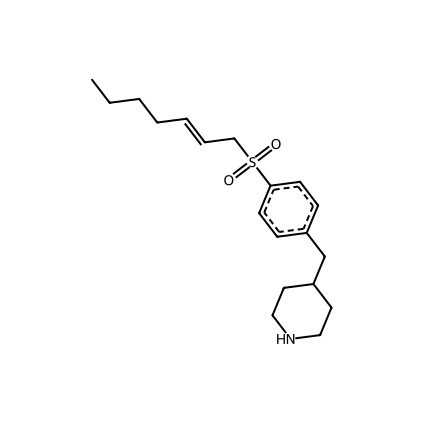 CCCCC=CCS(=O)(=O)c1ccc(CC2CCNCC2)cc1